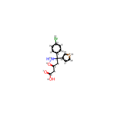 NC(CC(=O)CC(=O)O)(c1ccc(Br)cc1)c1ccsc1